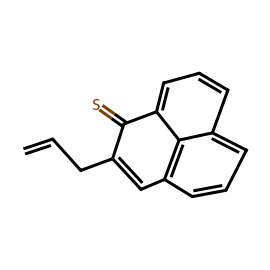 C=CCC1=Cc2cccc3cccc(c23)C1=S